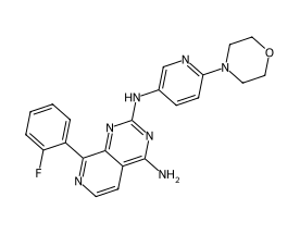 Nc1nc(Nc2ccc(N3CCOCC3)nc2)nc2c(-c3ccccc3F)nccc12